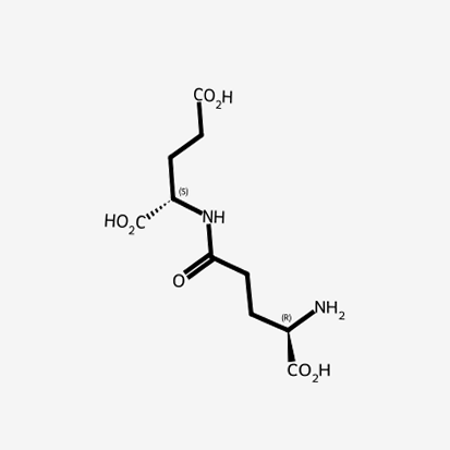 N[C@H](CCC(=O)N[C@@H](CCC(=O)O)C(=O)O)C(=O)O